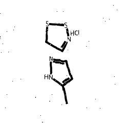 C1=NSSC1.Cc1ccn[nH]1.Cl